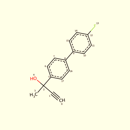 C#CC(C)(O)c1ccc(-c2ccc(F)cc2)cc1